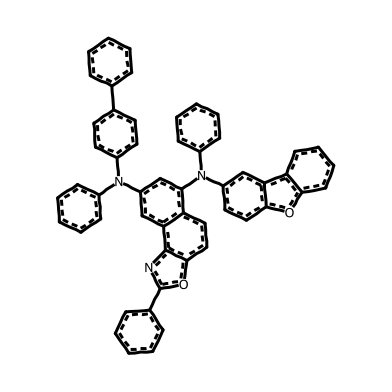 c1ccc(-c2ccc(N(c3ccccc3)c3cc(N(c4ccccc4)c4ccc5oc6ccccc6c5c4)c4ccc5oc(-c6ccccc6)nc5c4c3)cc2)cc1